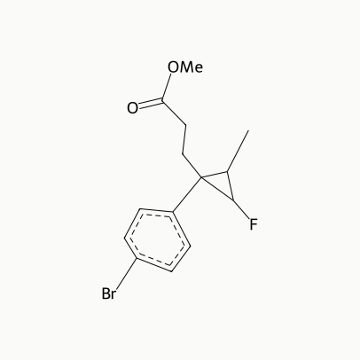 COC(=O)CCC1(c2ccc(Br)cc2)C(C)C1F